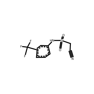 N#CCS(=O)(=O)Nc1cccc(C(F)(F)F)c1